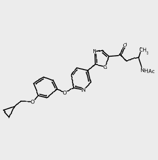 CC(=O)NC(C)CC(=O)c1cnc(-c2ccc(Oc3cccc(OCC4CC4)c3)nc2)o1